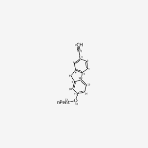 C#Cc1ccc2c(c1)Cc1cc(OCCCCC)ccc1-2